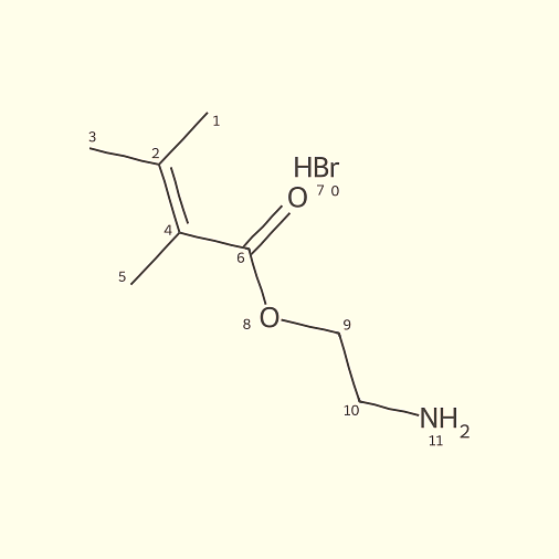 Br.CC(C)=C(C)C(=O)OCCN